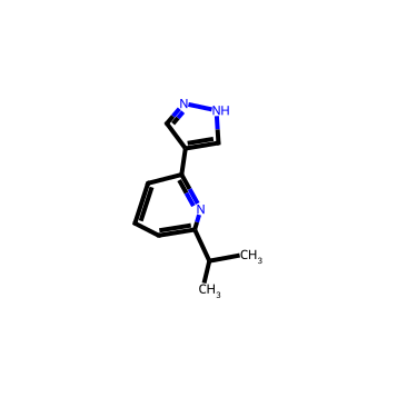 CC(C)c1cccc(-c2cn[nH]c2)n1